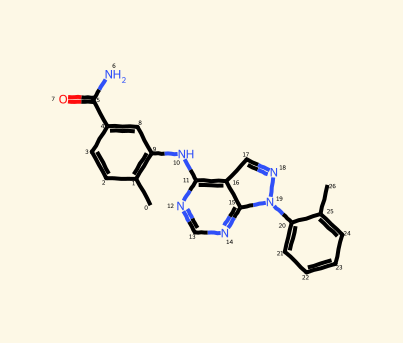 Cc1ccc(C(N)=O)cc1Nc1ncnc2c1cnn2-c1ccccc1C